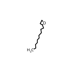 CCCCCCCCCCC1CCO1